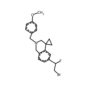 COc1ccc(CN2Cc3ccc(C(F)CBr)cc3C3(CC3)C2)cc1